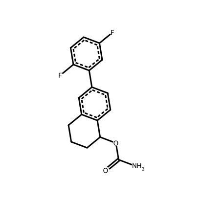 NC(=O)OC1CCCc2cc(-c3cc(F)ccc3F)ccc21